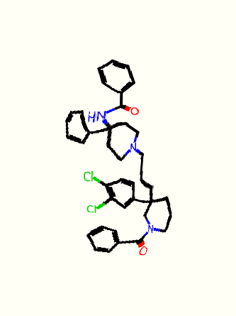 O=C(NC1(c2ccccc2)CCN(CCCC2(c3ccc(Cl)c(Cl)c3)CCCN(C(=O)c3ccccc3)C2)CC1)c1ccccc1